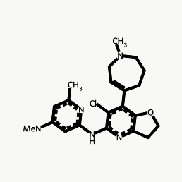 CNc1cc(C)nc(Nc2nc3c(c(C4=CCN(C)CCC4)c2Cl)OCC3)c1